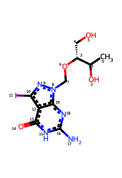 CC(O)[C@@H](CO)OCn1nc(I)c2c(=O)[nH]c(N)nc21